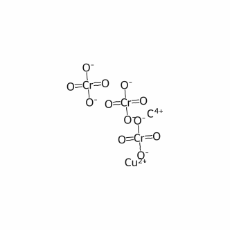 [C+4].[Cu+2].[O]=[Cr](=[O])([O-])[O-].[O]=[Cr](=[O])([O-])[O-].[O]=[Cr](=[O])([O-])[O-]